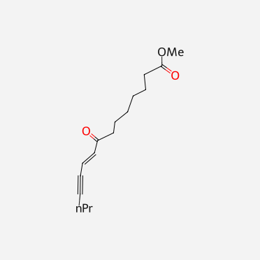 CCCC#C/C=C/C(=O)CCCCCCC(=O)OC